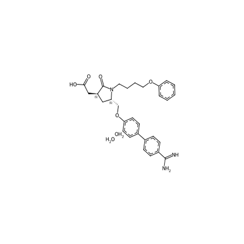 N=C(N)c1ccc(-c2ccc(OC[C@@H]3C[C@@H](CC(=O)O)C(=O)N3CCCCOc3ccccc3)cc2)cc1.O.O